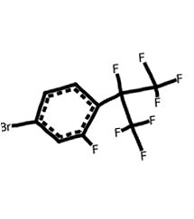 Fc1cc(Br)ccc1C(F)(C(F)(F)F)C(F)(F)F